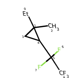 CCC1(C)CC1C(F)(F)C(F)(F)F